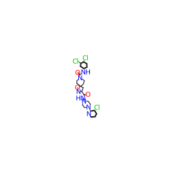 O=C(NN1CCN(c2ncccc2Cl)CC1)C1=NOC2(CCN(C(=O)Nc3ccc(Cl)c(Cl)c3)CC2)C1